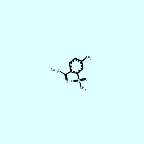 CCOC(=O)C(=O)c1ccc(C(F)(F)F)cc1S(C)(=O)=O